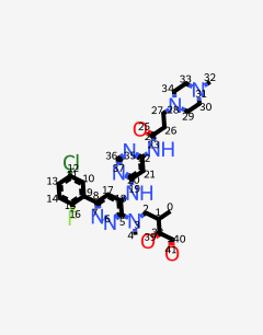 CC(CN(C)c1nnc(-c2cc(Cl)ccc2F)cc1Nc1cc(NC(=O)CCN2CCN(C)CC2)ncn1)C(=O)C=O